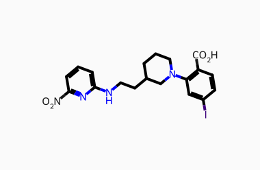 O=C(O)c1ccc(I)cc1N1CCCC(CCNc2cccc([N+](=O)[O-])n2)C1